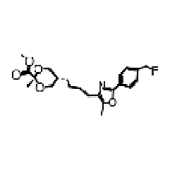 COC(=O)[C@]1(C)OC[C@H](CCCCc2nc(-c3ccc(CF)cc3)oc2C)CO1